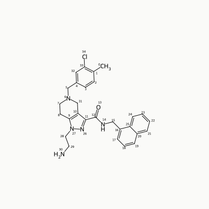 Cc1ccc(CN2CCc3c(c(C(=O)NCc4cccc5ccccc45)nn3CCN)C2)cc1Cl